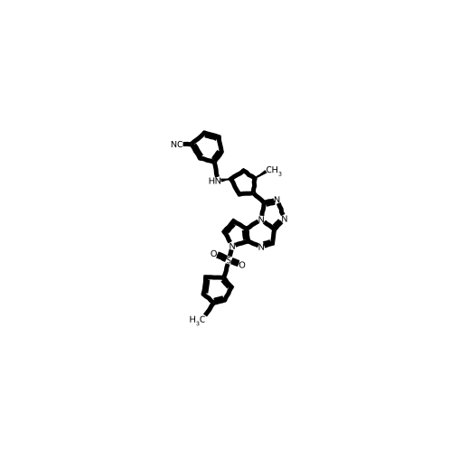 Cc1ccc(S(=O)(=O)n2ccc3c2ncc2nnc(C4C[C@@H](Nc5cccc(C#N)c5)C[C@H]4C)n23)cc1